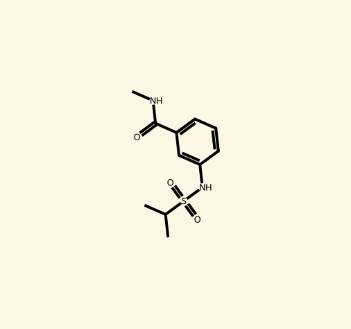 CNC(=O)c1cccc(NS(=O)(=O)C(C)C)c1